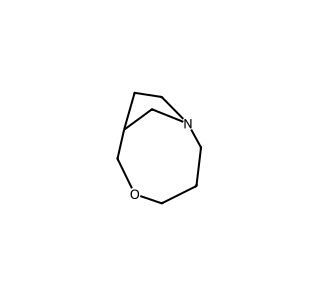 C1COCC2CCN(C1)C2